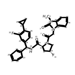 Cn1c(=O)n(CC(=O)N2C[C@H](F)C[C@H]2C(=O)N[C@@H](c2ccccc2)c2ccc(C3CC3)c(F)c2)c2ccccc21